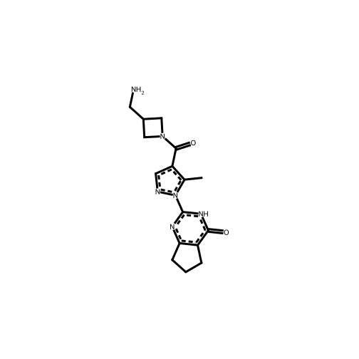 Cc1c(C(=O)N2CC(CN)C2)cnn1-c1nc2c(c(=O)[nH]1)CCC2